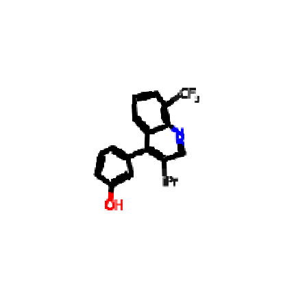 CC(C)c1cnc2c(C(F)(F)F)cccc2c1-c1cccc(O)c1